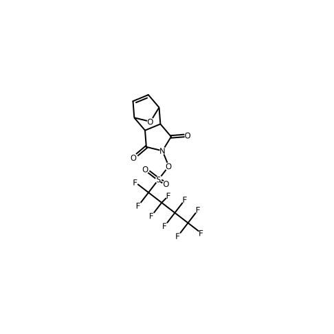 O=C1C2C3C=CC(O3)C2C(=O)N1OS(=O)(=O)C(F)(F)C(F)(F)C(F)(F)C(F)(F)F